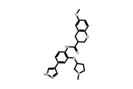 COc1ccc2c(c1)CC(C(=O)Nc1ccc(-c3cn[nH]c3)cc1OC1CCN(C)C1)CO2